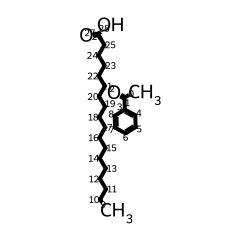 CC(=O)c1ccccc1.CCCCCCCCCCCCCCCCCC(=O)O